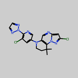 CC1(C)CCN(c2cnc(-n3nccn3)c(Cl)c2)c2cnc3cc(Cl)nn3c21